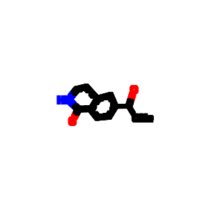 COC(=O)c1ccc2c(=O)[nH]ccc2c1